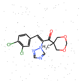 CC1(C(=O)C(=Cc2ccc(Cl)c(Cl)c2)n2cncn2)COCOC1